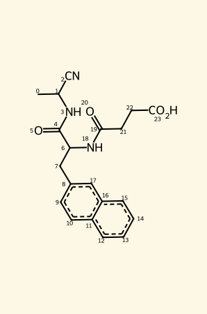 CC(C#N)NC(=O)C(Cc1ccc2ccccc2c1)NC(=O)CCC(=O)O